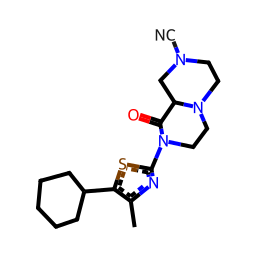 Cc1nc(N2CCN3CCN(C#N)CC3C2=O)sc1C1CCCCC1